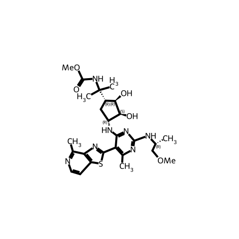 COC[C@@H](C)Nc1nc(C)c(-c2nc3c(C)nccc3s2)c(N[C@@H]2C[C@H](C(C)(C)NC(=O)OC)[C@@H](O)[C@H]2O)n1